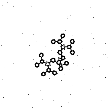 c1ccc(-c2cc(-c3ccccc3)cc(-c3nc(-c4cc(-c5ccccc5)cc(-c5ccccc5)c4)nc(-c4cccc(-c5cccc6c5sc5c(-c7cccc(-c8nc(-c9cc(-c%10ccccc%10)cc(-c%10ccccc%10)c9)nc(-c9cc(-c%10ccccc%10)cc(-c%10ccccc%10)c9)n8)c7)cc7c8ccccc8n(-c8ccccc8)c7c56)c4)n3)c2)cc1